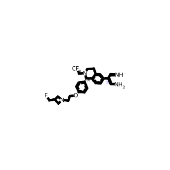 N=C/C(=C\N)c1ccc2c(c1)CCN(CC(F)(F)F)[C@H]2c1ccc(OCCN2CC(CF)C2)cc1